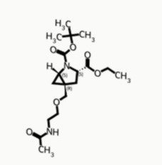 CCOC(=O)[C@@H]1C[C@]2(COCCNC(C)=O)C[C@@H]2N1C(=O)OC(C)(C)C